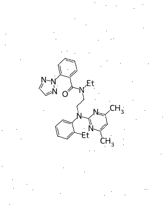 CCc1ccccc1N(CCN(CC)C(=O)c1ccccc1-n1nccn1)c1nc(C)cc(C)n1